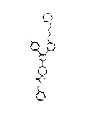 CC1(C(=O)NCc2ccccc2)COC(c2nc(-c3ccc(F)cc3)c(-c3ccnc(NCCCN4CCOCC4)n3)[nH]2)OC1